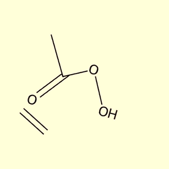 C=C.CC(=O)OO